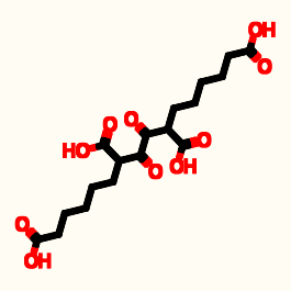 O=C(O)CCCCCC(C(=O)O)C(=O)C(=O)C(CCCCCC(=O)O)C(=O)O